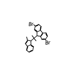 CC1=Cc2ccccc2C1C(C)(C)C1c2cc(Br)ccc2-c2ccc(Br)cc21